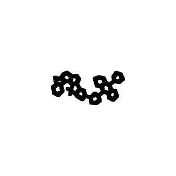 CC1(C)c2ccc(-c3cccc(-c4c5ccccc5c(-c5ccccc5)c5ccccc45)c3)cc2-c2ccc3ccc4sc5ccccc5c4c3c21